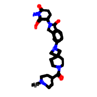 CN1CCC(C(=O)N2CCC3(CC2)CN(c2ccc4c(c2)CN(C2CCC(=O)NC2=O)C4=O)C3)CC1